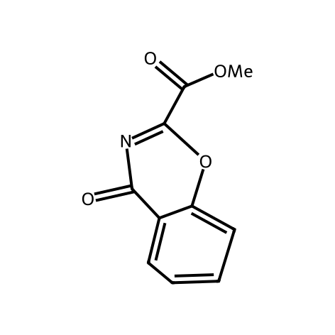 COC(=O)c1nc(=O)c2ccccc2o1